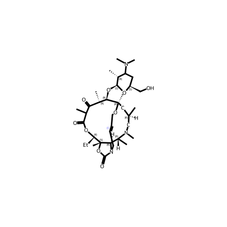 CC[C@H]1OC(=O)C(C)C(=O)[C@H](C)[C@@H](O[C@@H]2O[C@H](CO)CC(N(C)C)[C@H]2C)[C@@]2(C)C[C@@H](C)CN(C)[C@H](C)[C@H]3N(C/C=C/CO2)C(=O)O[C@]13C